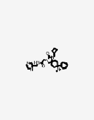 CN(C)C1(c2ccccc2)CCC2(CC1)CN(CC(=O)NCc1cnccn1)C(=O)N2CC1CCC1